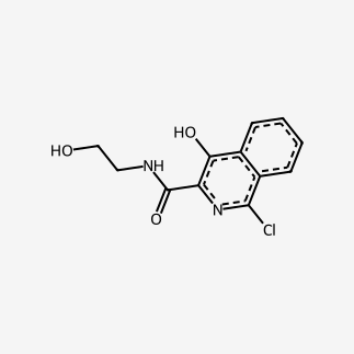 O=C(NCCO)c1nc(Cl)c2ccccc2c1O